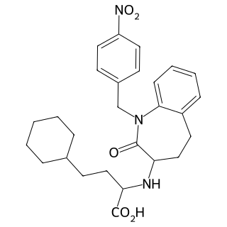 O=C(O)C(CCC1CCCCC1)NC1CCc2ccccc2N(Cc2ccc([N+](=O)[O-])cc2)C1=O